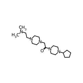 CN(C)CCN1CCN(CC(=O)N2CCN(C3CCCC3)CC2)CC1